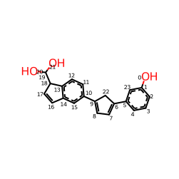 Oc1cccc(C2=CC=C(c3ccc4c(c3)C=CC4C(O)O)C2)c1